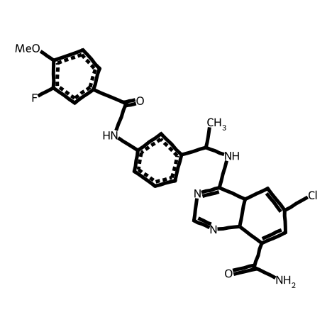 COc1ccc(C(=O)Nc2cccc(C(C)NC3=NC=NC4C(C(N)=O)=CC(Cl)=CC34)c2)cc1F